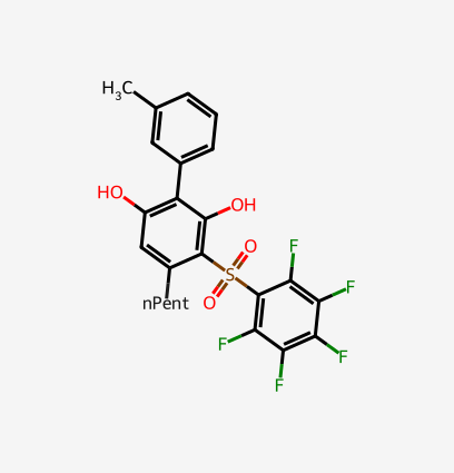 CCCCCc1cc(O)c(-c2cccc(C)c2)c(O)c1S(=O)(=O)c1c(F)c(F)c(F)c(F)c1F